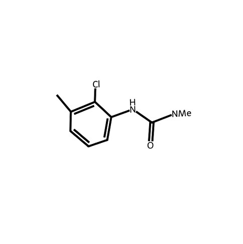 CNC(=O)Nc1cccc(C)c1Cl